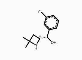 CC1(C)C[C@H](C(O)c2cccc(Cl)c2)N1